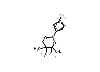 Cn1cc(B2OCC(C)(C)C(C)(C)O2)cn1